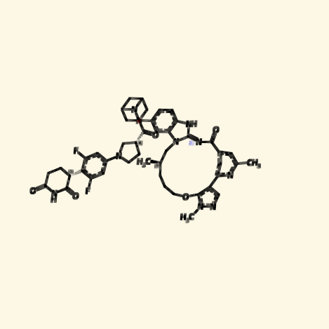 Cc1cc2cc(n1)-c1cnn(C)c1OCCC[C@@H](C)CN1/C(=N/C2=O)Nc2ccc(CN3C4CC3CN(C(=O)[C@@H]3CCN(c5cc(F)c([C@H]6CCC(=O)NC6=O)c(F)c5)C3)C4)cc21